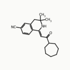 CC1(C)Cc2cc(C#N)ccc2C(=CC(=O)C2CCCCCC2)N1